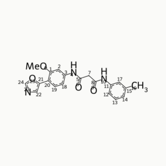 COc1cc(NC(=O)CC(=O)Nc2cccc(C)c2)ccc1-c1cnco1